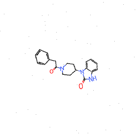 O=C(Cc1ccccc1)N1CCC(n2c(=O)[nH]c3ccccc32)CC1